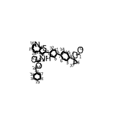 O=COC1(c2ccc(-c3ccc(-c4sc5ncccc5c4NC(=O)OCc4ccccc4)cc3)cc2)CC1